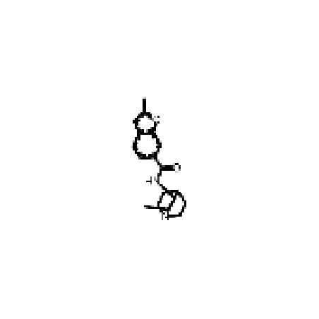 Cc1cc2ccc(C(=O)NC3C4CCN(CC4)C3C)cc2o1